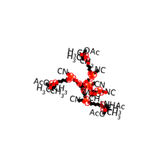 [C-]#[N+]CCCP(OCCCCCCO[C@@H]1OC(COC(C)=O)[C@H](C)[C@H](C)C1NC(C)=O)OCCCOCC(COCCCOP(OCCCCCCO[C@@H]1OC(COC(C)=O)[C@H](C)[C@H](C)C1C)OCC[N+]#[C-])(COCCCOP(OCCCCCCO[C@@H]1OC(COC(C)=O)[C@H](C)[C@H](C)C1C)OCC[N+]#[C-])COP(OCCC#N)OC[C@H]1O[C@@H](C)CC1OP(=O)(OC)OCC[N+]#[C-]